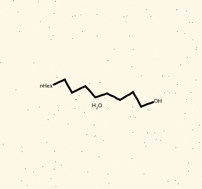 CCCCCCCCCCCCCCO.O